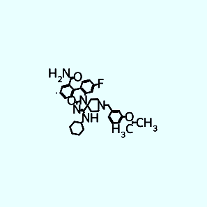 CC(C)Oc1cccc(CN2CCC3(CC2)C(NC2CCCCC2)=NC(=O)N3c2cc(F)ccc2-c2cc[c]cc2C(N)=O)c1